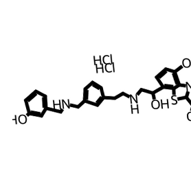 Cl.Cl.O=CC1Nc2c(O)ccc(C(O)CNCCc3cccc(CNCc4cccc(O)c4)c3)c2S1